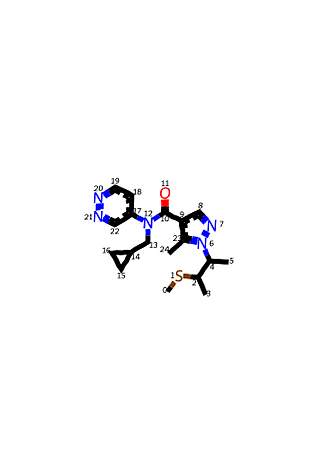 CSC(C)C(C)n1ncc(C(=O)N(CC2CC2)c2ccnnc2)c1C